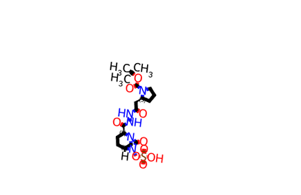 CC(C)(C)OC(=O)N1CCC[C@H]1CC(=O)NNC(=O)[C@@H]1CC[C@@H]2CN1C(=O)N2OS(=O)(=O)O